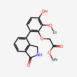 CCCOC(=O)COc1c(-c2cccc3c2CNC3=O)ccc(O)c1OCC